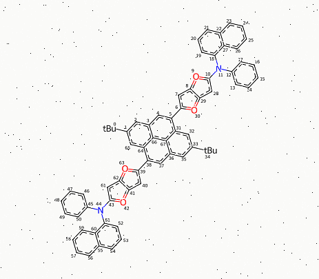 CC(C)(C)c1cc2cc(-c3cc4oc(N(c5ccccc5)c5cccc6ccccc56)cc4o3)c3cc(C(C)(C)C)cc4cc(-c5cc6oc(N(c7ccccc7)c7cccc8ccccc78)cc6o5)c(c1)c2c43